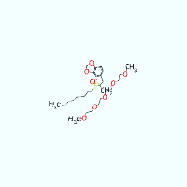 CCCCCCCC[S+]([O-])C(C)Cc1ccc2c(c1)OCO2.COCCOCCOCCOCCOC